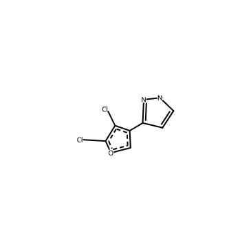 Clc1occ(C2=N[N]C=C2)c1Cl